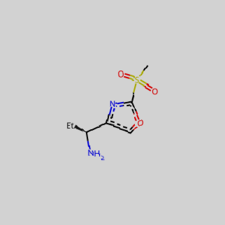 CC[C@H](N)c1coc(S(C)(=O)=O)n1